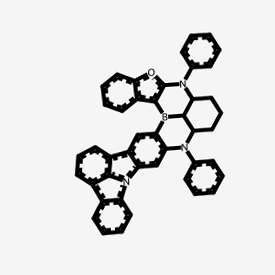 c1ccc(N2c3cc4c(cc3B3c5c(oc6ccccc56)N(c5ccccc5)C5CCCC2C35)c2cccc3c5ccccc5n4c32)cc1